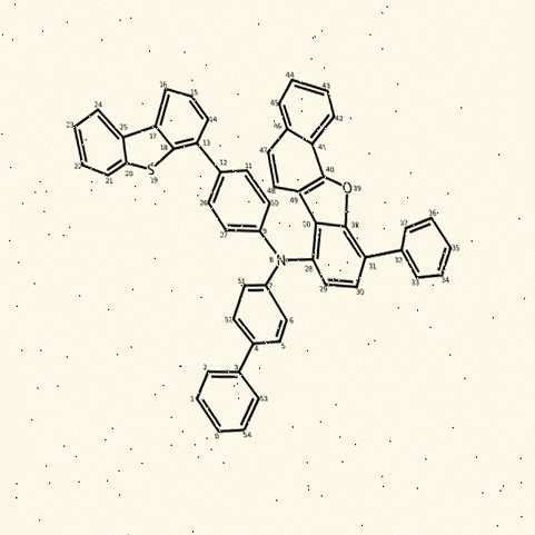 c1ccc(-c2ccc(N(c3ccc(-c4cccc5c4sc4ccccc45)cc3)c3ccc(-c4ccccc4)c4oc5c6ccccc6ccc5c34)cc2)cc1